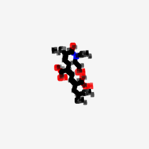 CC(=CCC(=CC=C(CC(C)C)C(=O)O)C(=O)O)C(=O)N(C)CCO